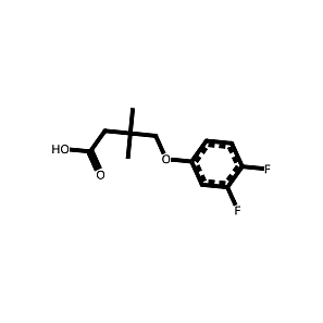 CC(C)(COc1ccc(F)c(F)c1)CC(=O)O